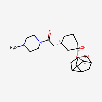 CN1CCN(C(=O)C[C@@H]2CCC[C@](O)(O[C@@]3(O)C4CC5CC(C4)C3C5)C2)CC1